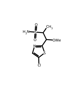 COC(c1ncc(Cl)s1)C(C)S(N)(=O)=O